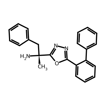 C[C@@](N)(Cc1ccccc1)c1nnc(-c2ccccc2-c2ccccc2)o1